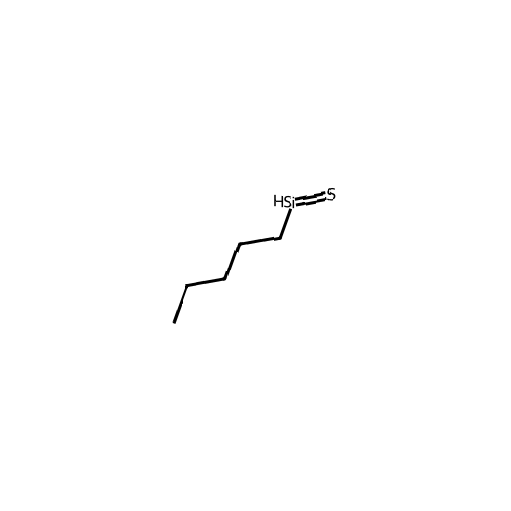 CCCCC[SiH]=S